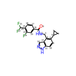 O=C(NCc1c(C2CC2)ccc2[nH]ncc12)c1ccc(C(F)F)c(F)c1